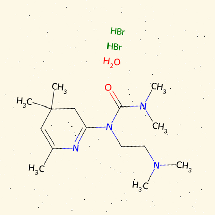 Br.Br.CC1=CC(C)(C)CC(N(CCN(C)C)C(=O)N(C)C)=N1.O